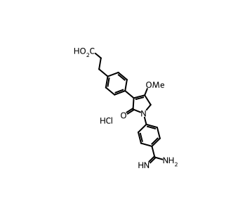 COC1=C(c2ccc(CCC(=O)O)cc2)C(=O)N(c2ccc(C(=N)N)cc2)C1.Cl